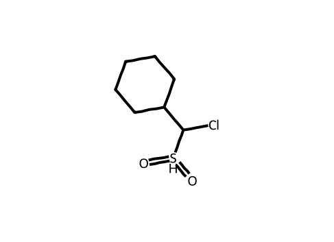 O=[SH](=O)C(Cl)C1CCCCC1